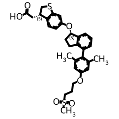 Cc1cc(OCCCS(C)(=O)=O)cc(C)c1-c1cccc2c1CC[C@@H]2Oc1ccc2c(c1)SC[C@H]2CC(=O)O